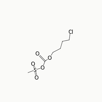 CS(=O)(=O)OC(=O)OCCCCCl